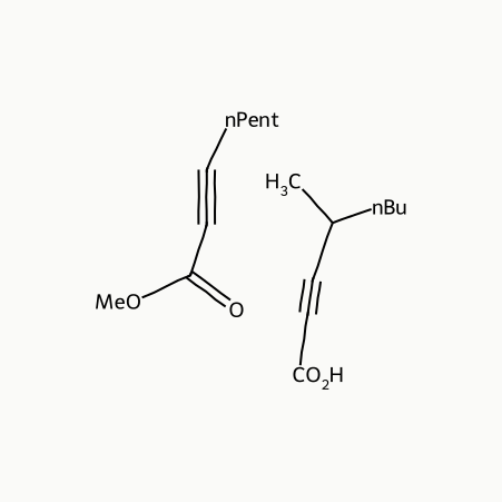 CCCCC(C)C#CC(=O)O.CCCCCC#CC(=O)OC